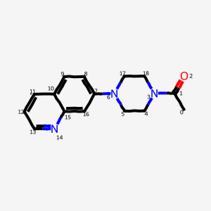 CC(=O)N1CCN(c2ccc3[c]ccnc3c2)CC1